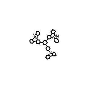 c1ccc2c(c1)nc1c3ccccc3c3ccc(-c4cc(-c5ccc(-n6c7ccccc7c7ccccc76)cc5)cc(-c5ccc6c7ccccc7c7nc8ccccc8n7c6c5)c4)cc3n21